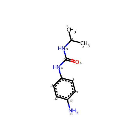 CC(C)NC(=O)Nc1ccc(N)cc1